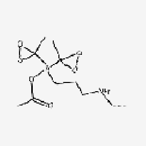 CCNCCC[Si](OC(C)=O)(C1(C)OO1)C1(C)OO1